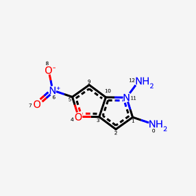 Nc1cc2oc([N+](=O)[O-])cc2n1N